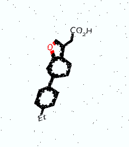 CCc1ccc(-c2ccc3c(CC(=O)O)coc3c2)cc1